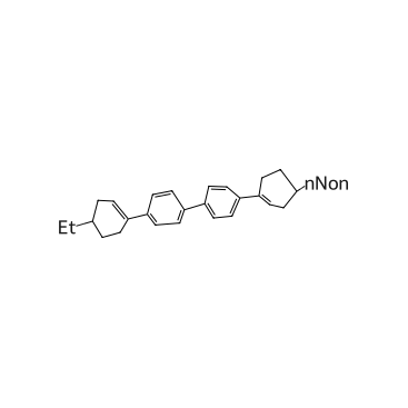 CCCCCCCCCC1CC=C(c2ccc(-c3ccc(C4=CCC(CC)CC4)cc3)cc2)CC1